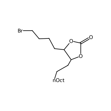 CCCCCCCCCCC1OC(=O)OC1CCCCBr